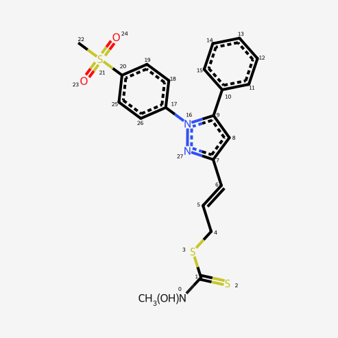 CN(O)C(=S)SCC=Cc1cc(-c2ccccc2)n(-c2ccc(S(C)(=O)=O)cc2)n1